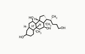 C[C@H](CCCO)[C@H]1CC[C@H]2[C@@H]3[C@H](O)C[C@@H]4CC(O)CC[C@]4(C)[C@H]3C[C@H](O)[C@]12C